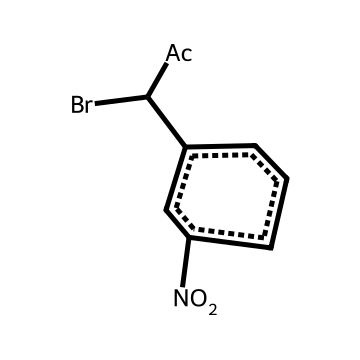 CC(=O)C(Br)c1cccc([N+](=O)[O-])c1